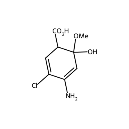 COC1(O)C=C(N)C(Cl)=CC1C(=O)O